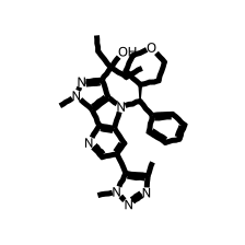 CCC(O)(CC)c1nn(C)c2c3ncc(-c4c(C)nnn4C)cc3n([C@H](c3ccccc3)C3CCOCC3)c12